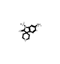 CN1C(=O)C2(CCOCC2)c2ccc(N)cc21